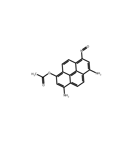 CC(=O)Oc1cc(N)c2ccc3c(N)cc(N=O)c4ccc1c2c34